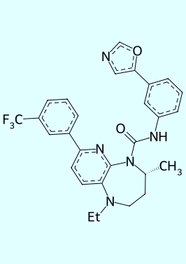 CCN1CC[C@@H](C)N(C(=O)Nc2cccc(-c3cnco3)c2)c2nc(-c3cccc(C(F)(F)F)c3)ccc21